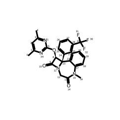 Cc1cc(C)nc(O[C@@H]2C(=O)N3CC(=O)N(C)c4ccccc4[C@@]23c2cccc(C(F)(F)F)c2)n1